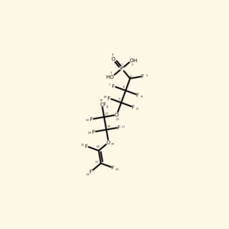 O=P(O)(O)C(F)C(F)(F)C(F)(F)OC(F)(C(F)(F)F)C(F)(F)OC(F)=C(F)F